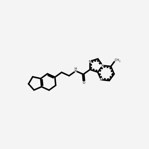 Cc1ccnc2c(C(=O)NCCC3=CC4=C(CCC4)CC3)ncn12